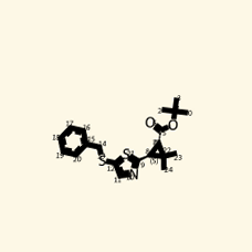 CC(C)(C)OC(=O)[C@H]1[C@H](c2ncc(SCc3ccccc3)s2)C1(C)C